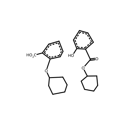 O=C(O)c1ccccc1OC1CCCCC1.O=C(OC1CCCCC1)c1ccccc1O